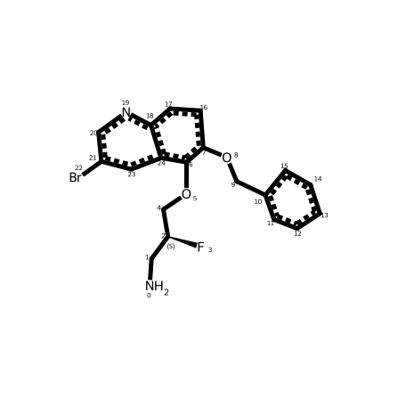 NC[C@H](F)COc1c(OCc2ccccc2)ccc2ncc(Br)cc12